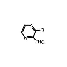 O=[C]c1nccnc1Cl